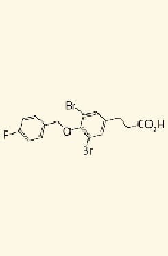 O=C(O)CCc1cc(Br)c(OCc2ccc(F)cc2)c(Br)c1